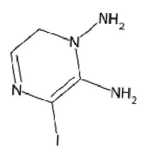 NC1=C(I)N=CCN1N